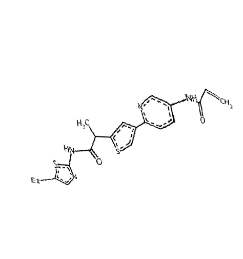 C=CC(=O)Nc1ccc(-c2csc(C(C)C(=O)Nc3ncc(CC)s3)c2)nc1